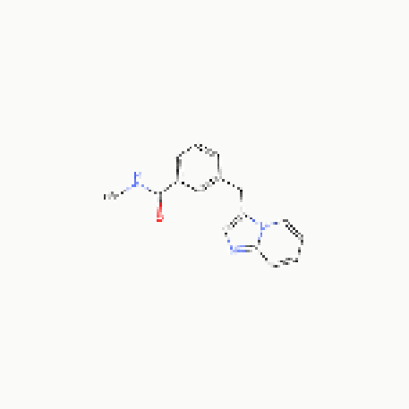 CCCNC(=O)c1cccc(Cc2cnc3ccccn23)c1